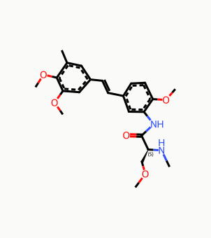 CN[C@@H](COC)C(=O)Nc1cc(C=Cc2cc(C)c(OC)c(OC)c2)ccc1OC